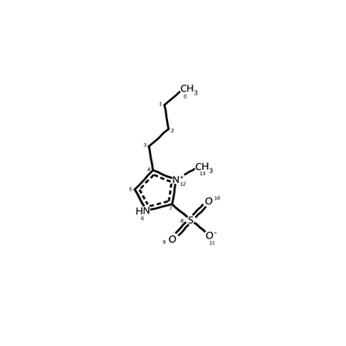 CCCCc1c[nH]c(S(=O)(=O)[O-])[n+]1C